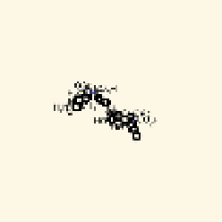 CC(=O)O[C@H]1C[C@]2(C)C3CC[C@H]4[C@H](CN)[C@H](O)CC[C@]4(C)[C@@H]3CC[C@H]2/C1=C(/C(=O)O)c1ccc2cc(NC[C@@H]3[C@H](O)CC[C@@]4(C)[C@H]3CCC3[C@H]4[C@H](O)C[C@H]4/C(=C(/C(=O)O)c5ccc6ccccc6c5)[C@@H](OC(C)=O)C[C@]34C)ccc2c1